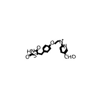 CN(CCOc1ccc(CC2SC(=O)NC2=O)cc1)c1ccc(C=O)cn1